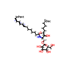 CCCCC\C=C/C=C/C=C/CCCCCCC(=O)N[C@@H](COC1OC(CO)C(O)C(O)C1O)[C@H](O)CCCCCCCCCCCCCCC